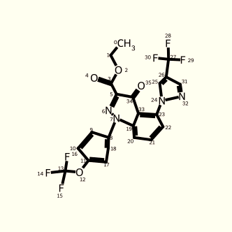 CCOC(=O)c1nn(-c2ccc(OC(F)(F)F)cc2)c2cccc(-n3cc(C(F)(F)F)cn3)c2c1=O